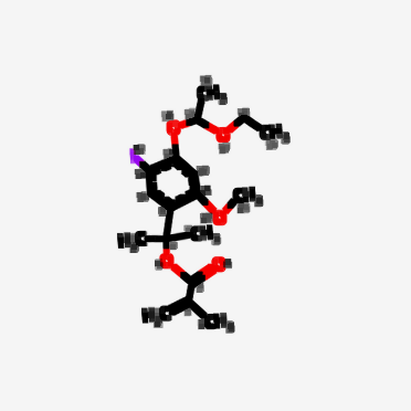 C=C(C)C(=O)OC(C)(C)c1cc(I)c(OC(C)OCC)cc1OC